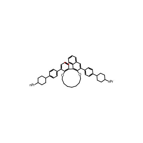 CCCC1CCC(c2ccc(-c3cc4ccccc4c4c3OCCCCCCCOc3c(-c5ccc(C6CCC(CCC)CC6)cc5)cc5ccccc5c3-4)cc2)CC1